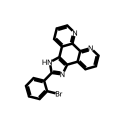 Brc1ccccc1-c1nc2c3cccnc3c3ncccc3c2[nH]1